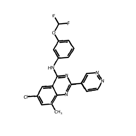 Cc1cc(Cl)cc2c(Nc3cccc(OC(F)F)c3)nc(-c3ccnnc3)nc12